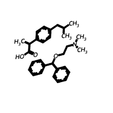 CC(C)Cc1ccc(C(C)C(=O)O)cc1.CN(C)CCOC(c1ccccc1)c1ccccc1